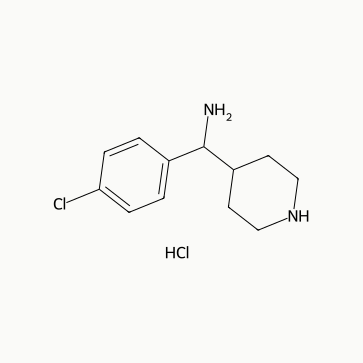 Cl.NC(c1ccc(Cl)cc1)C1CCNCC1